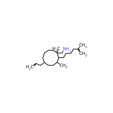 C=CCC1CCCCC(C)(CN)C(CCCCC(=C)C)C(C)CC1